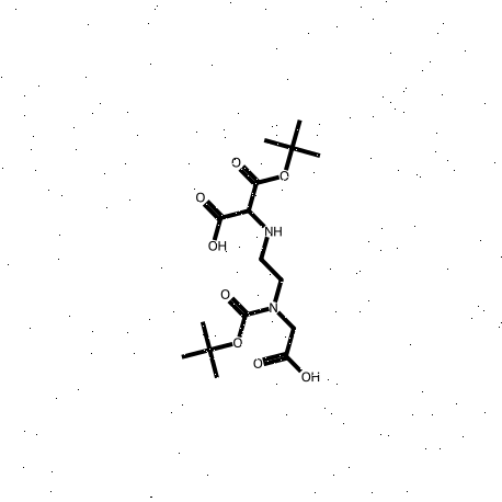 CC(C)(C)OC(=O)C(NCCN(CC(=O)O)C(=O)OC(C)(C)C)C(=O)O